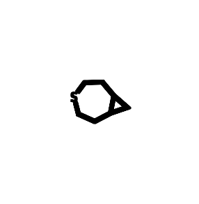 C1CC2CC2CCS1